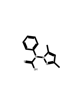 Cc1cc(C)n(N(C(=S)S)c2ccccc2)n1